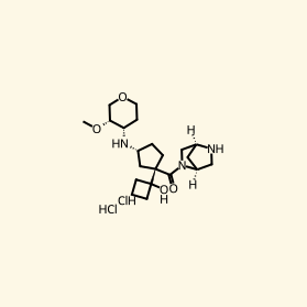 CO[C@@H]1COCC[C@@H]1N[C@@H]1CC[C@@](C(=O)N2C[C@@H]3C[C@H]2CN3)(C2(O)CCC2)C1.Cl.Cl